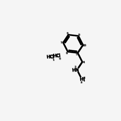 Cl.Cl.[Hf][NH]Cc1ccccc1